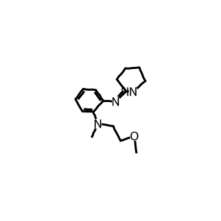 COCCN(C)c1ccccc1/N=C1\CCCCN1